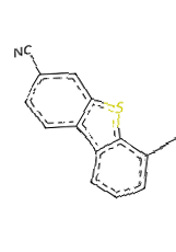 Cc1cccc2c1sc1cc(C#N)ccc12